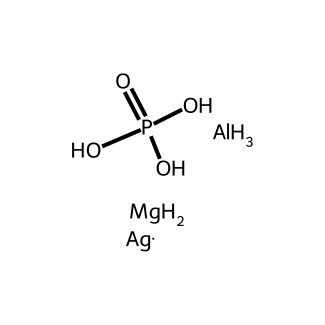 O=P(O)(O)O.[Ag].[AlH3].[MgH2]